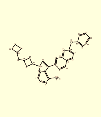 Nc1ncnc2c1c(-c1ccc3ccc(Oc4ccccc4)nc3c1)cn2C1CC(CN2CCC2)C1